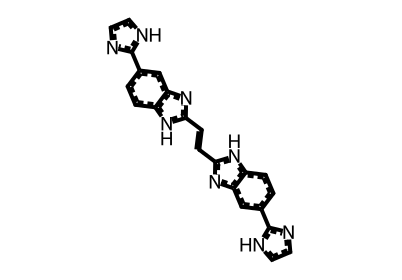 C(=Cc1nc2cc(-c3ncc[nH]3)ccc2[nH]1)c1nc2cc(-c3ncc[nH]3)ccc2[nH]1